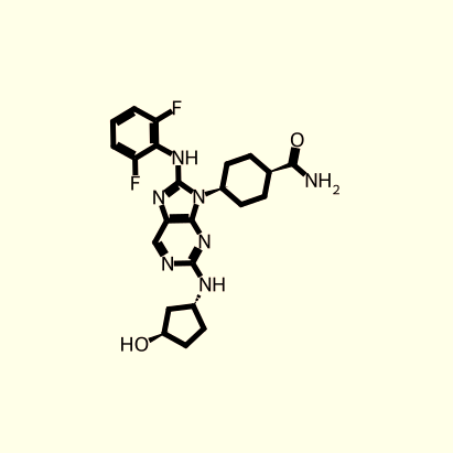 NC(=O)[C@H]1CC[C@@H](n2c(Nc3c(F)cccc3F)nc3cnc(N[C@@H]4CC[C@@H](O)C4)nc32)CC1